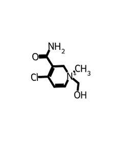 C[N+]1(CO)C=CC(Cl)=C(C(N)=O)C1